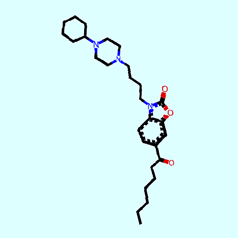 CCCCCCC(=O)c1ccc2c(c1)oc(=O)n2CCCCN1CCN(C2CCCCC2)CC1